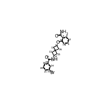 NC(=O)c1cccnc1O[C@H]1CC2(C[C@H](NC(=O)c3cccc(Br)c3)C2)C1